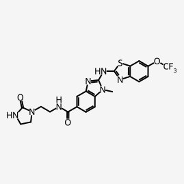 Cn1c(Nc2nc3ccc(OC(F)(F)F)cc3s2)nc2cc(C(=O)NCCN3CCNC3=O)ccc21